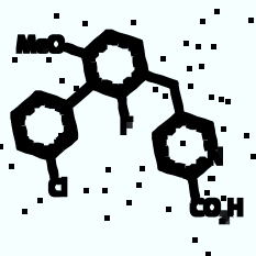 COc1ccc(Cc2ccc(C(=O)O)nc2)c(F)c1-c1cccc(Cl)c1